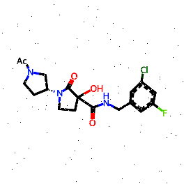 CC(=O)N1CC[C@@H](N2CCC(O)(C(=O)NCc3cc(F)cc(Cl)c3)C2=O)C1